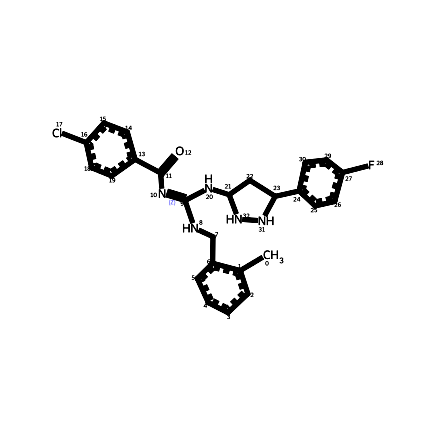 Cc1ccccc1CN/C(=N/C(=O)c1ccc(Cl)cc1)NC1CC(c2ccc(F)cc2)NN1